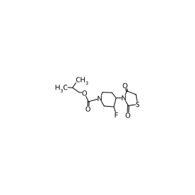 CC(C)COC(=O)N1CCC(N2C(=O)CSC2=O)C(F)C1